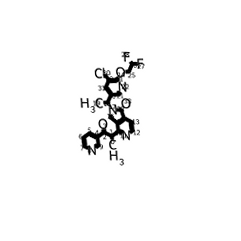 CC(C(=O)c1cccnc1)c1nccc2c1CN(C(C)c1cnc(OCC(F)F)c(Cl)c1)C2=O